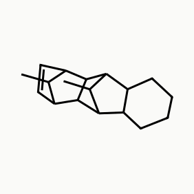 CC1C2C=CC1C1C3C(C)C(C4CCCCC43)C21